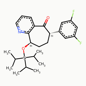 CC(C)[Si](O[C@@H]1CC[C@@H](c2cc(F)cc(F)c2)C(=O)c2cccnc21)(C(C)C)C(C)C